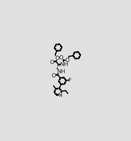 CCc1nccc(C)c1-c1cc(F)cc(C(=O)NC[C@@H](NC(=O)OCc2ccccc2)C(=O)OCc2ccccc2)c1